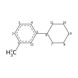 Cc1cccc(C2CC[CH]CC2)c1